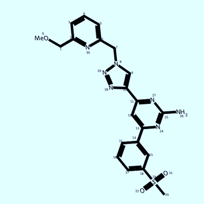 COCc1cccc(Cn2cc(-c3cc(-c4cccc(S(C)(=O)=O)c4)nc(N)n3)nn2)n1